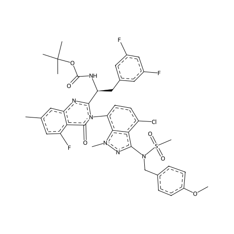 COc1ccc(CN(c2nn(C)c3c(-n4c([C@H](Cc5cc(F)cc(F)c5)NC(=O)OC(C)(C)C)nc5cc(C)cc(F)c5c4=O)ccc(Cl)c23)S(C)(=O)=O)cc1